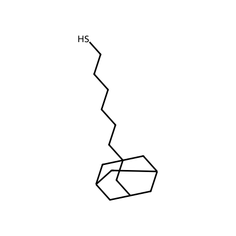 SCCCCCCC12CC3CC(CC(C3)C1)C2